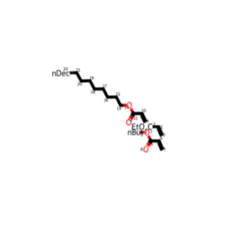 C=CC(=O)OCC.C=CC(=O)OCCCC.C=CC(=O)OCCCCCCCCCCCCCCCCCC